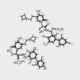 CCOC(=O)C[C@H](NC(=O)C(CC(C)C)n1cc(CCN2CCC2)c(C(F)(F)F)cc1=O)c1c(F)c(-c2c(C)cc(F)cc2C)cc(C(F)(F)F)c1F.Cc1cc(F)cc(C)c1-c1cc(C(F)(F)F)c(F)c([C@H](CC(=O)O)NC(=O)C(CC(C)C)n2cc(CCN3CCC3)c(C(F)(F)F)cc2=O)c1F